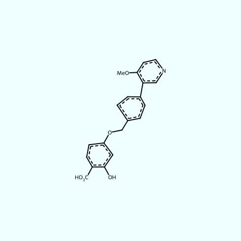 COc1ccncc1-c1ccc(COc2ccc(C(=O)O)c(O)c2)cc1